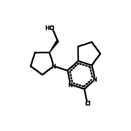 OC[C@@H]1CCCN1c1nc(Cl)nc2c1CCC2